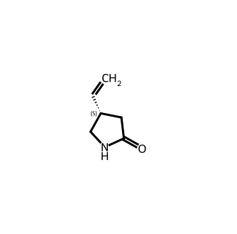 C=C[C@H]1CNC(=O)C1